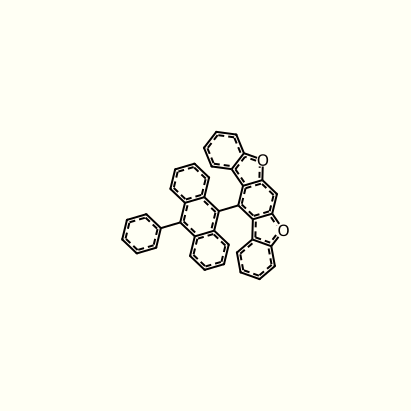 c1ccc(-c2c3ccccc3c(-c3c4c(cc5oc6ccccc6c35)oc3ccccc34)c3ccccc23)cc1